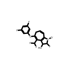 [O-][S+]1C2=C(C(C(F)F)=C(Oc3cc(F)cc(F)c3)CC=C2)C(O)C1F